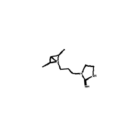 CC1C2C(C)[Si]12CCCN1CCNC1=N